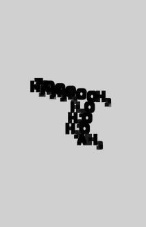 O.O.O.O.O.O.O.O.[AlH3].[Zr]